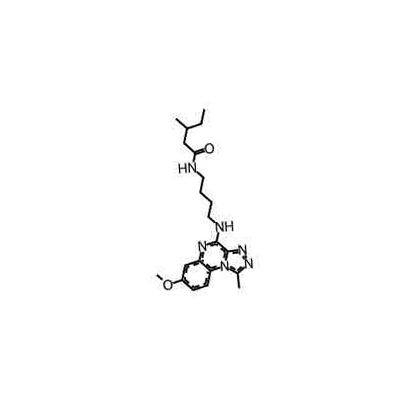 CCC(C)CC(=O)NCCCCNc1nc2cc(OC)ccc2n2c(C)nnc12